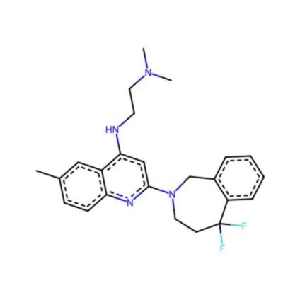 Cc1ccc2nc(N3CCC(F)(F)c4ccccc4C3)cc(NCCN(C)C)c2c1